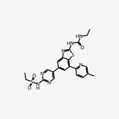 CCNC(=O)Nc1nc2cc(-c3cnc(NS(=O)(=O)CC)nc3)cc(-c3ccc(C)cn3)c2s1